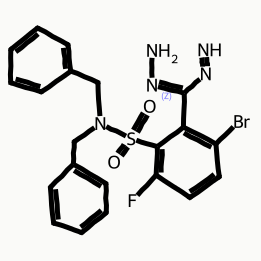 N=N/C(=N\N)c1c(Br)ccc(F)c1S(=O)(=O)N(Cc1ccccc1)Cc1ccccc1